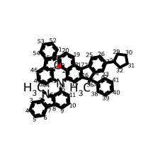 Cn1c2ccccc2c2cccc(N(c3cc4c(c5ccccc35)-c3ccc(C5CCCC5)cc3C4(C)c3ccccc3)c3cccc4c3oc3ccccc34)c21